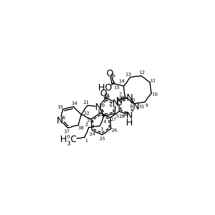 CCCCc1cn(C2CCCCCCC2C(=O)O)c(=O)n1CC1(c2cccc(-c3nnn[nH]3)c2)C=CN=CC1